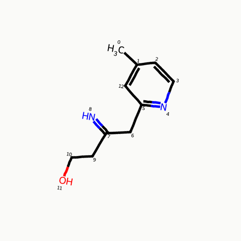 Cc1ccnc(CC(=N)CCO)c1